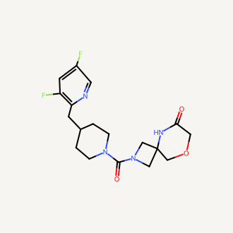 O=C1COCC2(CN(C(=O)N3CCC(Cc4ncc(F)cc4F)CC3)C2)N1